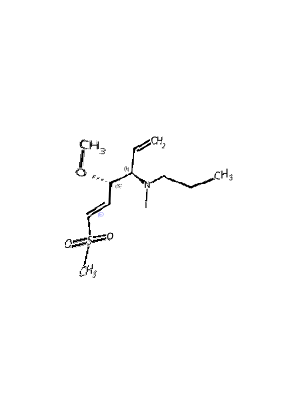 C=C[C@H]([C@H](/C=C/S(C)(=O)=O)OC)N(I)CCC